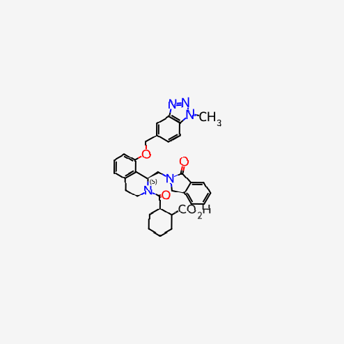 Cn1nnc2cc(COc3cccc4c3[C@@H](CN3Cc5ccccc5C3=O)N(C(=O)C3CCCCC3C(=O)O)CC4)ccc21